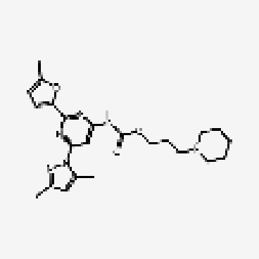 Cc1cc(C)n(-c2cc(NC(=O)OCCCN3CCCCC3)nc(-c3ccc(C)o3)n2)n1